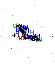 N=C(NCCCCCCNC(=N)NC(=N)Nc1ccc(Cl)cc1)NC(=N)Nc1ccc(Cl)cc1.O=C(O)CC(O)C(=O)O